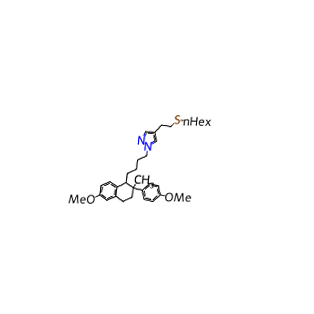 CCCCCCSCCc1cnn(CCCCC2c3ccc(OC)cc3CCC2(C)c2ccc(OC)cc2)c1